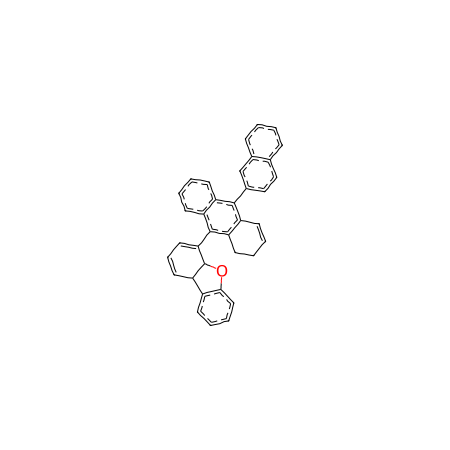 C1=CC2c3ccccc3OC2C(c2c3c(c(-c4ccc5ccccc5c4)c4ccccc24)C=CCC3)=C1